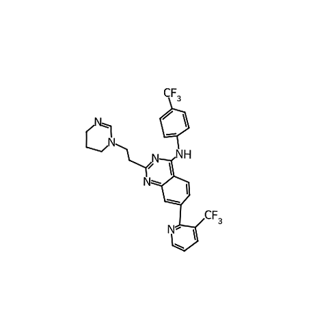 FC(F)(F)c1ccc(Nc2nc(CCN3C=NCCC3)nc3cc(-c4ncccc4C(F)(F)F)ccc23)cc1